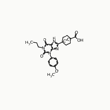 CCCn1c(=O)c2[nH]c(C34CCC(C(=O)O)(CC3)CC4)nc2n(-c2ccc(OC)cc2)c1=O